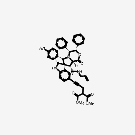 C=CCNC(=O)[C@H]1[C@@H]2C(=O)O[C@@H](c3ccccc3)[C@@H](c3ccccc3)N2[C@@H](c2ccc(O)cc2)[C@]12C(=O)Nc1ccc(C#CCC(C(=O)OC)C(=O)OC)cc12